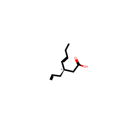 C=CC[C@@H](C=CCC)CC(=O)O